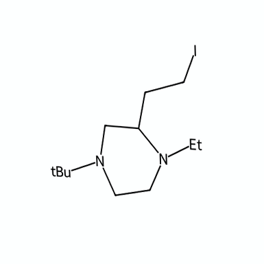 CCN1CCN(C(C)(C)C)CC1CCI